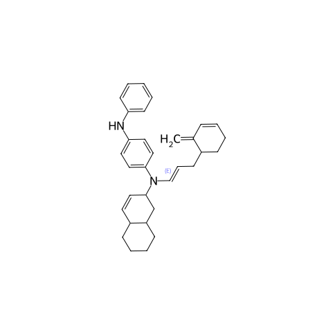 C=C1C=CCCC1C/C=C/N(c1ccc(Nc2ccccc2)cc1)C1C=CC2CCCCC2C1